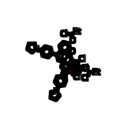 CCC(Cl)Oc1ccc(/C(=C\C2(/C=C(\c3ccc(OC(Cl)CC)cc3)c3ccc(N4CCCC4)cc3)OC(=O)c3c(Cl)c(Cl)c(Cl)c(Cl)c32)c2ccc(N3CCCC3)cc2)cc1